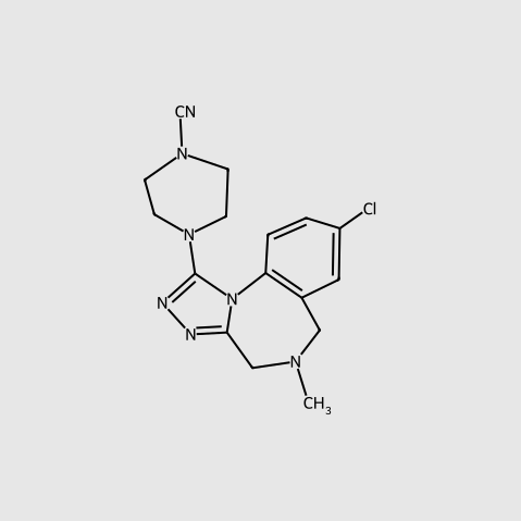 CN1Cc2cc(Cl)ccc2-n2c(nnc2N2CCN(C#N)CC2)C1